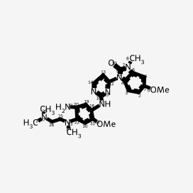 COc1ccc2c(c1)n(C)c(=O)n2-c1ccnc(Nc2cc(N)c(N(C)CCN(C)C)cc2OC)n1